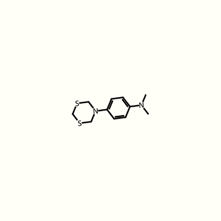 CN(C)c1ccc(N2CSCSC2)cc1